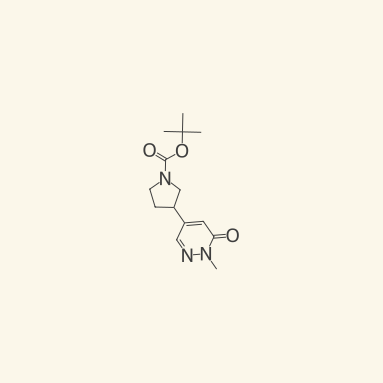 Cn1ncc(C2CCN(C(=O)OC(C)(C)C)C2)cc1=O